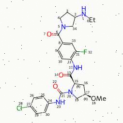 CCNC1CCN(C(=O)c2ccc(NC(=O)[C@H]3C[C@@H](OC)CN3C(=O)Nc3ccc(Cl)cc3)c(F)c2)C1